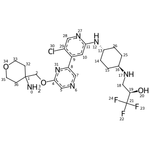 NC1(COc2cncc(-c3cc(N[C@H]4CC[C@H](NC[C@@H](O)C(F)(F)F)CC4)ncc3Cl)n2)CCOCC1